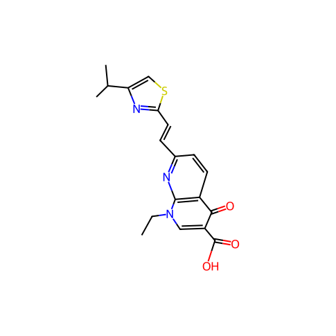 CCn1cc(C(=O)O)c(=O)c2ccc(C=Cc3nc(C(C)C)cs3)nc21